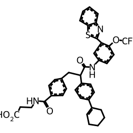 O=C(O)CCNC(=O)c1ccc(CC(C(=O)Nc2ccc(OC(F)(F)F)c(-c3nc4ccccc4s3)c2)c2ccc(C3=CCCCC3)cc2)cc1